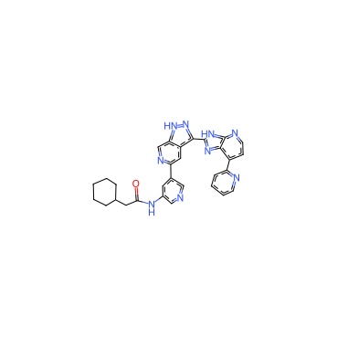 O=C(CC1CCCCC1)Nc1cncc(-c2cc3c(-c4nc5c(-c6ccccn6)ccnc5[nH]4)n[nH]c3cn2)c1